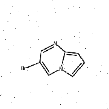 Brc1cnc2cccn2c1